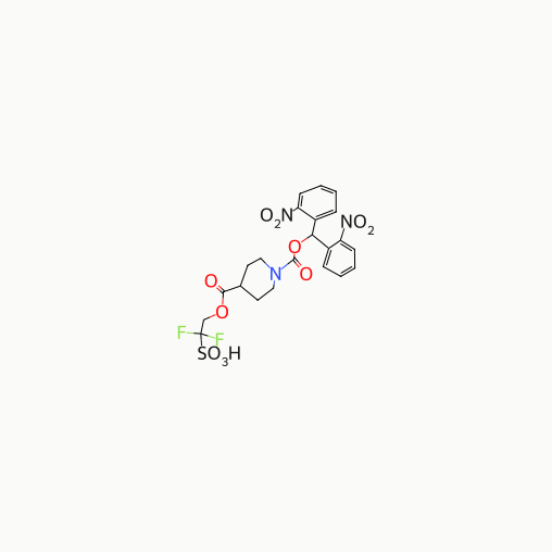 O=C(OCC(F)(F)S(=O)(=O)O)C1CCN(C(=O)OC(c2ccccc2[N+](=O)[O-])c2ccccc2[N+](=O)[O-])CC1